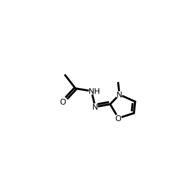 CC(=O)NN=c1occn1C